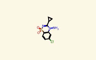 NN1C(C2CC2)=NS(=O)(=O)c2ccc(Cl)cc21